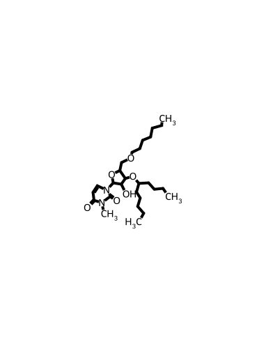 CCCCCCCOCC1OC(n2ccc(=O)n(C)c2=O)C(O)C1OC(CCCC)CCCCC